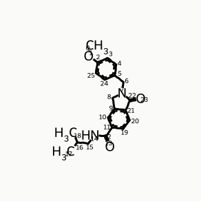 COc1ccc(CN2Cc3cc(C(=O)NCC(C)C)ccc3C2=O)cc1